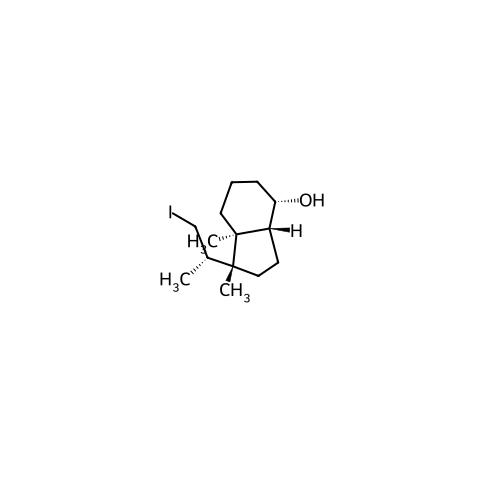 C[C@H](CI)[C@@]1(C)CC[C@H]2[C@@H](O)CCC[C@@]21C